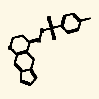 Cc1ccc(S(=O)(=O)ON=C2CCOC3=C2CC2=CC=CC2=C3)cc1